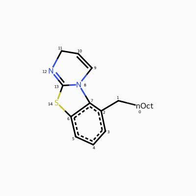 CCCCCCCCCc1cccc2c1N1C=CCN=C1S2